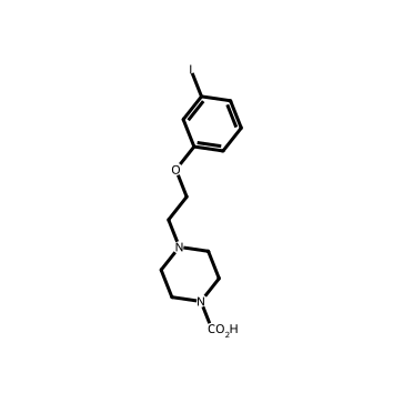 O=C(O)N1CCN(CCOc2cccc(I)c2)CC1